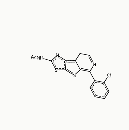 CC(=O)Nc1nc2c(s1)=NC1=C(c3ccccc3Cl)N=CCC=21